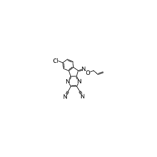 C=CCON=C1c2ccc(Cl)cc2-c2nc(C#N)c(C#N)nc21